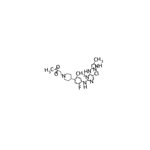 Cc1cc(Nc2nc(Nc3cc(C)c(C4CCN(CCS(C)(=O)=O)CC4)cc3F)ncc2Cl)n[nH]1